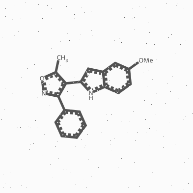 COc1ccc2[nH]c(-c3c(-c4ccccc4)noc3C)cc2c1